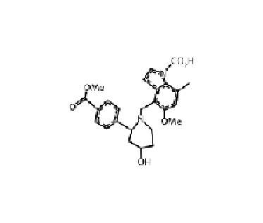 COC(=O)c1ccc(C2CC(O)CCN2Cc2c(OC)cc(C)c3c2ccn3C(=O)O)cc1